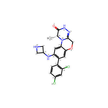 C[C@@H]1C(=O)NN=C2COc3cc(-c4ccc(Cl)cc4Cl)c(NC4CNC4)cc3N21